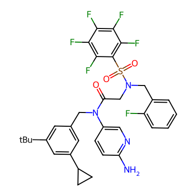 CC(C)(C)c1cc(CN(C(=O)CN(Cc2ccccc2F)S(=O)(=O)c2c(F)c(F)c(F)c(F)c2F)c2ccc(N)nc2)cc(C2CC2)c1